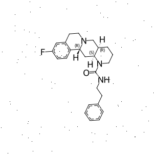 O=C(NCCc1ccccc1)N1CCC[C@@H]2CN3CCc4cc(F)ccc4[C@H]3C[C@@H]21